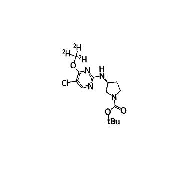 [2H]C([2H])([2H])Oc1nc(N[C@H]2CCN(C(=O)OC(C)(C)C)C2)ncc1Cl